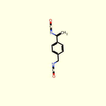 C=C(N=C=O)c1ccc(CN=C=O)cc1